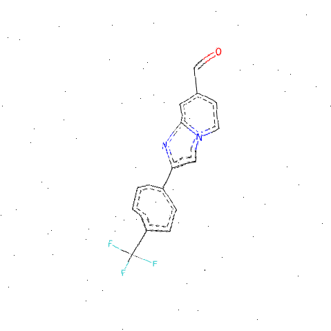 O=Cc1ccn2cc(-c3ccc(C(F)(F)F)cc3)nc2c1